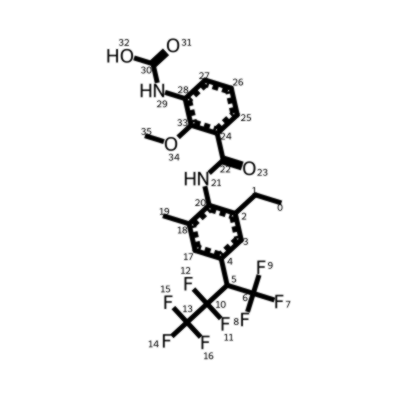 CCc1cc(C(C(F)(F)F)C(F)(F)C(F)(F)F)cc(C)c1NC(=O)c1cccc(NC(=O)O)c1OC